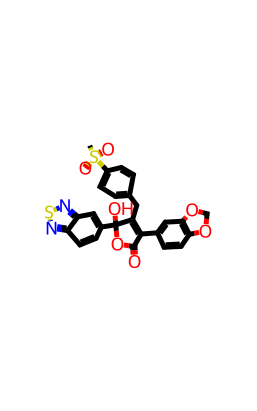 CS(=O)(=O)c1ccc(CC2=C(c3ccc4c(c3)OCO4)C(=O)OC2(O)c2ccc3nsnc3c2)cc1